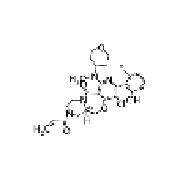 C=CC(=O)N1CCN2C(=O)c3c(N(C)C4CCOCC4)nc(-c4c(O)cccc4F)c(Cl)c3OC[C@H]2C1